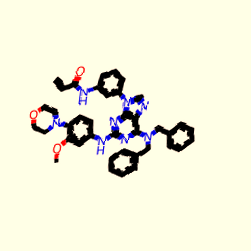 C=CC(=O)Nc1cccc(-n2cnc3c(N(Cc4ccccc4)Cc4ccccc4)nc(Nc4ccc(N5CCOCC5)c(OC)c4)nc32)c1